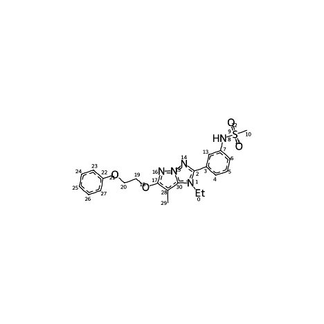 CCn1c(-c2cccc(NS(C)(=O)=O)c2)nn2nc(OCCOc3ccccc3)c(C)c12